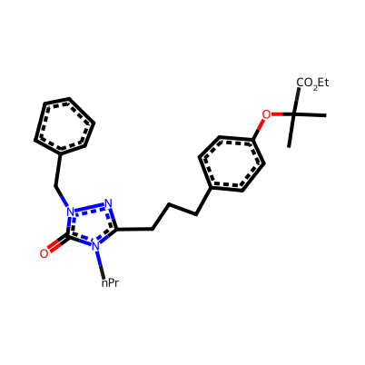 CCCn1c(CCCc2ccc(OC(C)(C)C(=O)OCC)cc2)nn(Cc2ccccc2)c1=O